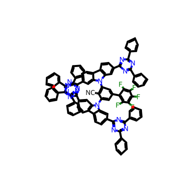 N#Cc1c(-n2c3cc(-c4nc(-c5ccccc5)nc(-c5ccccc5)n4)ccc3c3ccc(-c4nc(-c5ccccc5)nc(-c5ccccc5)n4)cc32)cc(-c2c(F)c(F)c(F)c(F)c2F)cc1-n1c2cc(-c3nc(-c4ccccc4)nc(-c4ccccc4)n3)ccc2c2ccc(-c3nc(-c4ccccc4)nc(-c4ccccc4)n3)cc21